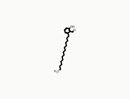 CCCCCCCCCCCCCCCCc1cccc(O)c1C=O